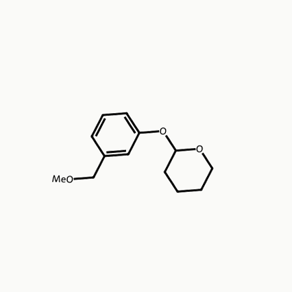 COCc1cccc(OC2CCCCO2)c1